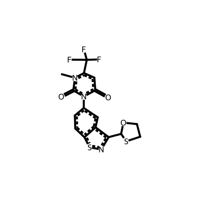 Cn1c(C(F)(F)F)cc(=O)n(-c2ccc3snc(C4OCCS4)c3c2)c1=O